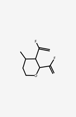 C=C(F)C1OCCC(C)C1C(=C)F